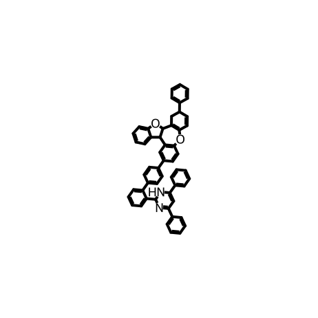 C1=CC(c2ccccc2)CC2=C1Oc1ccc(-c3ccc(-c4ccccc4C4N=C(c5ccccc5)C=C(c5ccccc5)N4)cc3)cc1C1c3ccccc3OC21